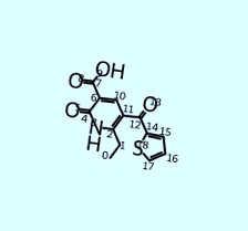 CCc1[nH]c(=O)c(C(=O)O)cc1C(=O)c1cccs1